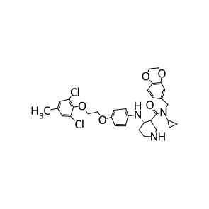 Cc1cc(Cl)c(OCCOc2ccc(N[C@H]3CCNCC3C(=O)N(Cc3ccc4c(c3)OCCO4)C3CC3)cc2)c(Cl)c1